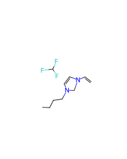 C=CN1C=CN(CCCC)C1.FC(F)F